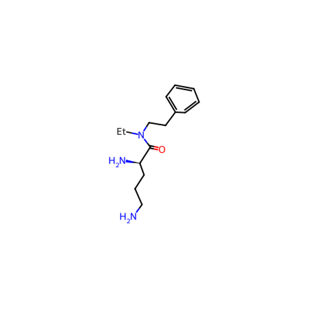 [CH2]CN(CCc1ccccc1)C(=O)[C@H](N)CCCN